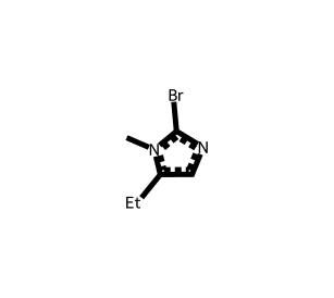 CCc1cnc(Br)n1C